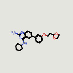 Nc1nc(NC2CCCCC2)c2cc(-c3cccc(OCCC4OCCO4)c3)ccc2n1